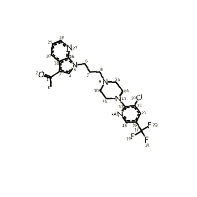 CC(=O)c1cn(CCCN2CCN(c3ncc(C(F)(F)F)cc3Cl)CC2)c2ncccc12